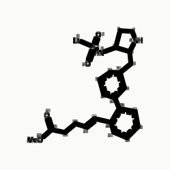 CCS(=O)(=O)NC1CCNC1Cc1cccc(-c2ccccc2/C=C/CCC(=O)OC)c1